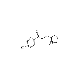 CN1CCCC1CCC(=O)c1ccc(Cl)cc1